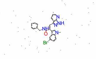 Cn1cc(/C(=C\c2n[nH]c3ncccc23)C(=O)NCc2ccccc2)c2cc(Br)ccc21